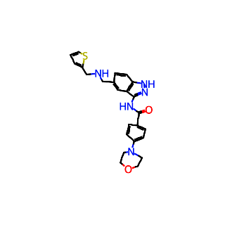 O=C(Nc1n[nH]c2ccc(CNCc3cccs3)cc12)c1ccc(N2CCOCC2)cc1